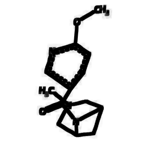 COc1ccc(C(=O)N2C3CC2CN(C)C3)cn1